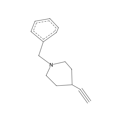 C#CC1CCN(Cc2ccccc2)CC1